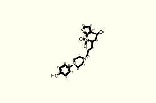 O=C1CC(CCCN2CCN(c3ccc(O)cc3)CC2)S(=O)(=O)c2sccc21